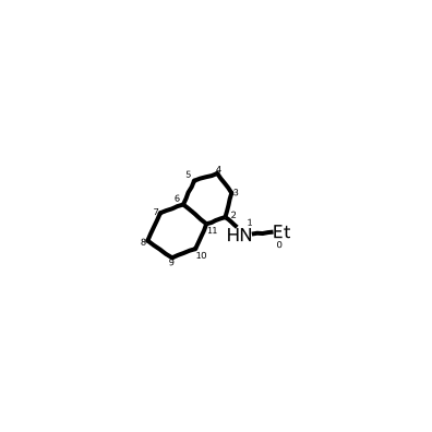 CCNC1CCCC2CCCCC21